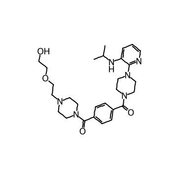 CC(C)Nc1cccnc1N1CCN(C(=O)c2ccc(C(=O)N3CCN(CCOCCO)CC3)cc2)CC1